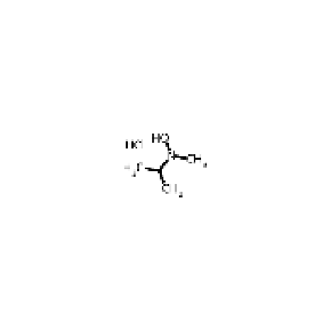 CC(C)N(C)O.Cl